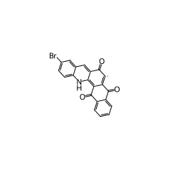 O=C1c2[c]c(=O)c3cc4cc(Br)ccc4[nH]c-3c2C(=O)c2ccccc21